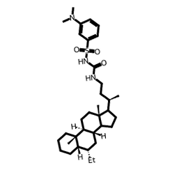 CC[C@H]1C[C@H]2C3CCC([C@H](C)CCNC(=O)NS(=O)(=O)c4cccc(N(C)C)c4)[C@@]3(C)CC[C@@H]2[C@@]2(C)CCCC[C@@H]12